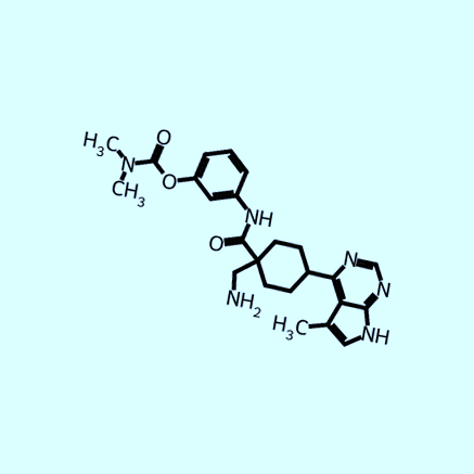 Cc1c[nH]c2ncnc(C3CCC(CN)(C(=O)Nc4cccc(OC(=O)N(C)C)c4)CC3)c12